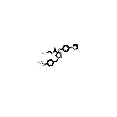 CCOC(=O)C1(Oc2ccc(-n3cccn3)cc2)CN(Cc2ccc(OC)cc2)N=N1